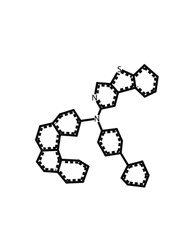 c1ccc(-c2ccc(N(c3ccc4ccc5ccc6ccccc6c5c4c3)c3cc4c(cn3)sc3ccccc34)cc2)cc1